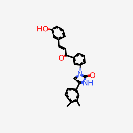 Cc1ccc(-c2cn(-c3cccc(C(=O)/C=C/c4cccc(O)c4)c3)c(=O)[nH]2)cc1C